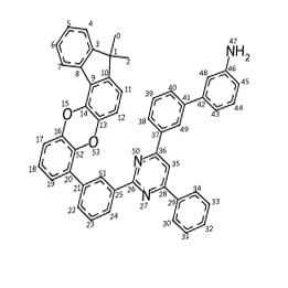 CC1(C)c2ccccc2-c2c1ccc1c2Oc2cccc(-c3cccc(-c4nc(-c5ccccc5)cc(-c5cccc(-c6cccc(N)c6)c5)n4)c3)c2O1